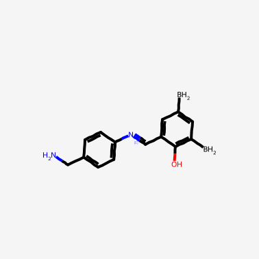 Bc1cc(B)c(O)c(/C=N/c2ccc(CN)cc2)c1